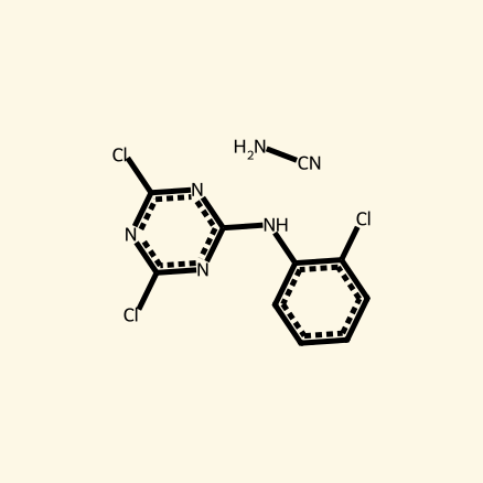 Clc1nc(Cl)nc(Nc2ccccc2Cl)n1.N#CN